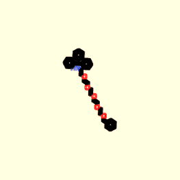 c1ccc(COCCOCCOCCOCCOCCNC(c2ccccc2)(c2ccccc2)c2ccccc2)cc1